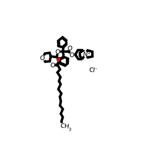 CCCCCCCCCCCCCCCC(=O)OC(OC(C(=O)OC1CC2CCC(C1)[N+]21CCCC1)(c1ccccc1)c1ccccc1)C1CCOCC1.[Cl-]